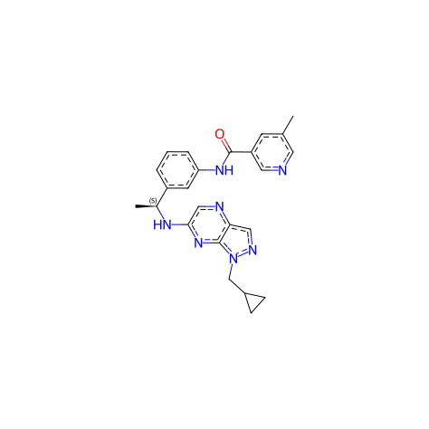 Cc1cncc(C(=O)Nc2cccc([C@H](C)Nc3cnc4cnn(CC5CC5)c4n3)c2)c1